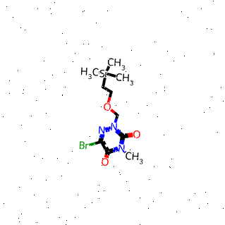 Cn1c(=O)c(Br)nn(COCC[Si](C)(C)C)c1=O